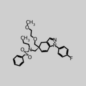 CCCN(C[C@]1(COCCOC)C=Cc2c(cnn2-c2ccc(F)cc2)C1)S(=O)(=O)c1ccccc1